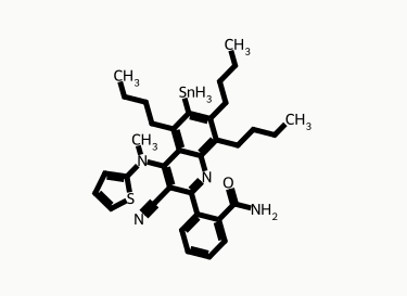 CCCCc1[c]([SnH3])c(CCCC)c2c(N(C)c3cccs3)c(C#N)c(-c3ccccc3C(N)=O)nc2c1CCCC